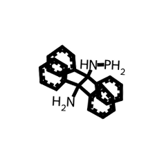 NC(c1ccccc1)(c1ccccc1)C(NP)(c1ccccc1)c1ccccc1